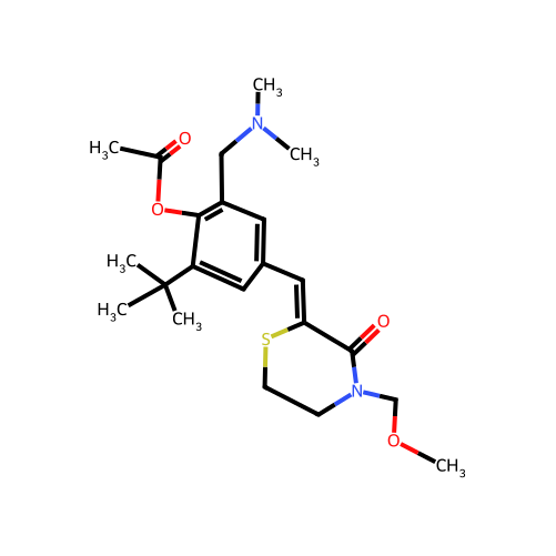 COCN1CCSC(=Cc2cc(CN(C)C)c(OC(C)=O)c(C(C)(C)C)c2)C1=O